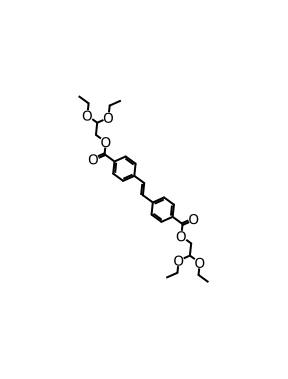 CCOC(COC(=O)c1ccc(C=Cc2ccc(C(=O)OCC(OCC)OCC)cc2)cc1)OCC